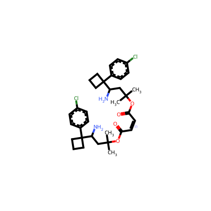 CC(C)(CC(N)C1(c2ccc(Cl)cc2)CCC1)OC(=O)/C=C\C(=O)OC(C)(C)CC(N)C1(c2ccc(Cl)cc2)CCC1